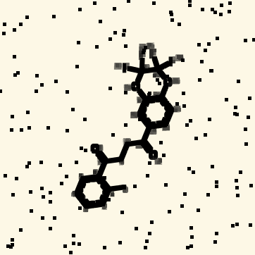 Cc1ccccc1C(=O)CCC(=O)c1ccc2c(c1)OC(F)(F)C(F)(F)O2